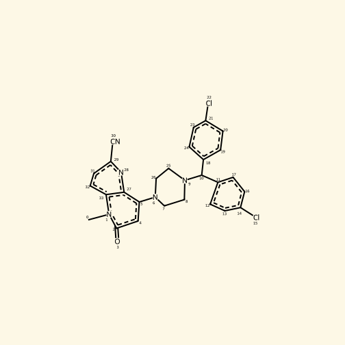 Cn1c(=O)cc(N2CCN(C(c3ccc(Cl)cc3)c3ccc(Cl)cc3)CC2)c2nc(C#N)ccc21